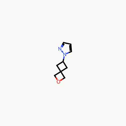 c1cnn(C2CC3(COC3)C2)c1